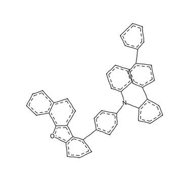 c1ccc(-c2ccc(-c3ccccc3N(c3ccccc3)c3ccc(-c4cccc5oc6c7ccccc7ccc6c45)cc3)cc2)cc1